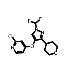 FC(F)n1cc(Oc2ccnc(Cl)c2)c(C2CCOCC2)n1